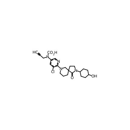 C#CCN(C(=O)O)c1cnc(N2CCCC3(CCN(C4CCC(O)CC4)C3=O)C2)c(Cl)c1